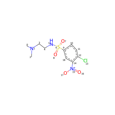 CN(C)CCNS(=O)(=O)c1ccc(Cl)c([N+](=O)[O-])c1